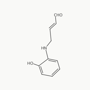 O=CC=CCNc1ccccc1O